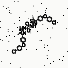 Cc1sc(NC(=O)C(=O)Nc2nc(-c3ccc(Oc4ccc(Cl)cc4)cc3)c(C)s2)nc1-c1ccc(Oc2ccc(Cl)cc2)cc1